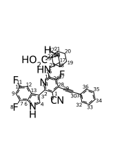 N#Cc1c(-c2c[nH]c3c(F)cc(F)cc23)nc(NC2C3CCC(CC3)[C@H]2C(=O)O)c(F)c1C#Cc1ccccc1